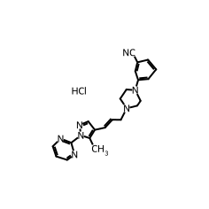 Cc1c(C=CCN2CCN(c3cccc(C#N)c3)CC2)cnn1-c1ncccn1.Cl